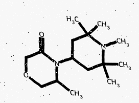 CC1COCC(=O)N1C1CC(C)(C)N(C)C(C)(C)C1